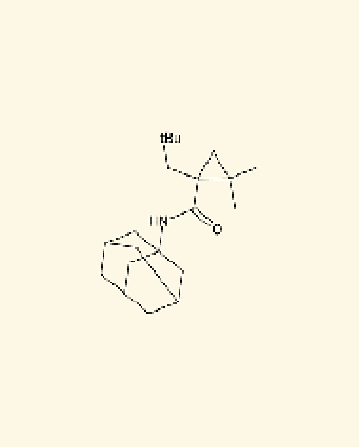 CC(C)(C)CC1(C(=O)NC23CC4CC(CC(C4)C2)C3)CC1(C)C